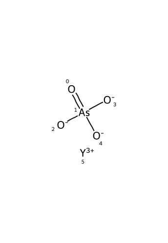 O=[As]([O-])([O-])[O-].[Y+3]